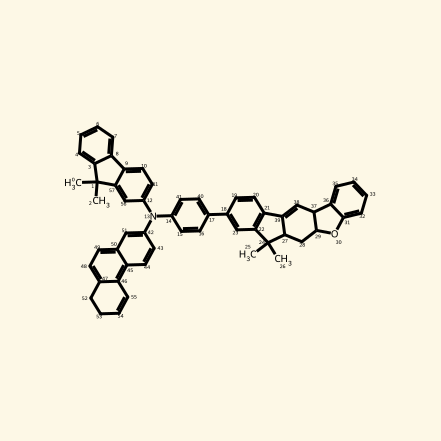 CC1(C)c2ccccc2-c2ccc(N(c3ccc(-c4ccc5c(c4)C(C)(C)C4CC6Oc7ccccc7C6C=C54)cc3)c3ccc4c5c(ccc4c3)CCC=C5)cc21